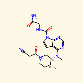 C[C@@H]1CCN(C(=O)CC#N)C[C@@H]1N(C)c1ncnc2c1ccn2C(=O)NCC(N)=O